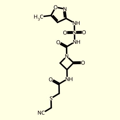 Cc1cc(NS(=O)(=O)NC(=O)N2CC(NC(=O)CSCC#N)C2=O)no1